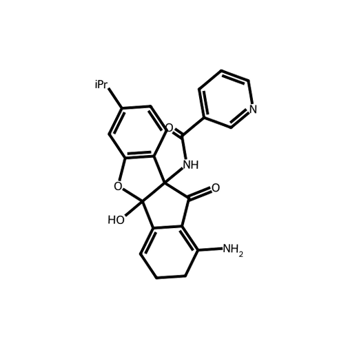 CC(C)c1ccc2c(c1)OC1(O)C3=CCCC(N)=C3C(=O)C21NC(=O)c1cccnc1